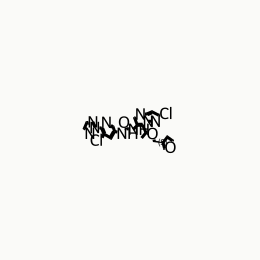 CC(OC[C@H]1CCOC1)c1c(NC(=O)Nc2cnc(-n3nccn3)c(Cl)c2)cnc2cc(Cl)nn12